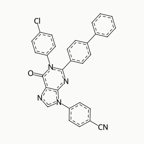 N#Cc1ccc(-n2cnc3c(=O)n(-c4ccc(Cl)cc4)c(-c4ccc(-c5ccccc5)cc4)nc32)cc1